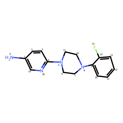 Nc1ccc(N2CCN(c3ccccc3F)CC2)nc1